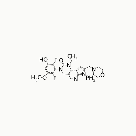 CCN1C(=O)N(c2c(F)c(O)cc(OC)c2F)Cc2cnc3c(cc(CN4CCOCC4)n3P)c21